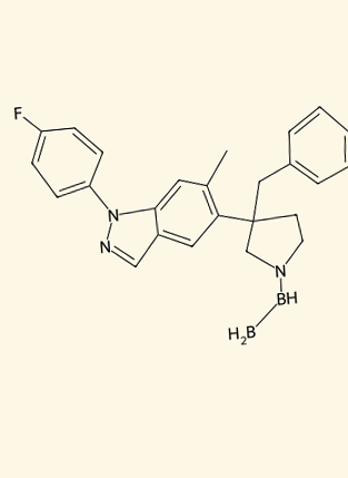 BBN1CCC(Cc2ccccc2)(c2cc3cnn(-c4ccc(F)cc4)c3cc2C)C1